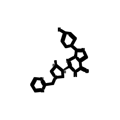 C[C@@H]1CN(Cc2ncccn2)C[C@H]1c1nn2c(C3C=CC(F)=CC3)ncc2c(=O)[nH]1